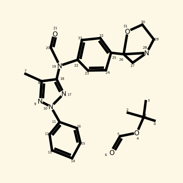 CC(C)(C)OC=O.Cc1nn(-c2ccccc2)nc1N(C=O)c1ccc(C23CN2CCO3)cc1